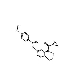 CCOc1ccc(C(=O)Nc2ccc3c(c2)N(C(=O)C2CC2)CCC3)cc1